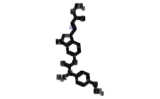 COC(=O)/C=C/c1c[nH]c2cc(OC(=O)N(C)c3ccc(OC)cc3)ccc12